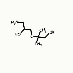 CC(C)(C)CC(C)(C)OCC(O)CN